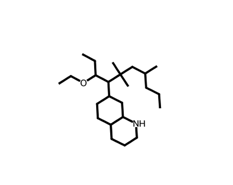 CCCC(C)CC(C)(C)C(C1CCC2CCCNC2C1)C(CC)OCC